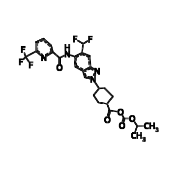 CC(C)OC(=O)OC(=O)C1CCC(n2cc3cc(NC(=O)c4cccc(C(F)(F)F)n4)c(C(F)F)cc3n2)CC1